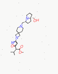 COC(=O)C(c1cc(N2CC3(CCN(C[C@@H]4CC[C@]5(CO)CCCN45)CC3)C2)no1)C(C)C